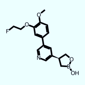 COc1ccc(-c2cncc([C@H]3COB(O)C3)c2)cc1OCCF